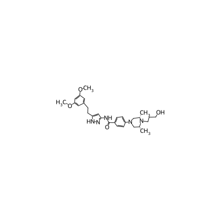 COc1cc(CCc2cc(NC(=O)c3ccc(N4C[C@@H](C)N(CCCO)[C@@H](C)C4)cc3)n[nH]2)cc(OC)c1